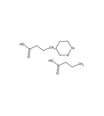 C1CC[Te]OC1.CCCC(=O)O.CCCC(=O)O